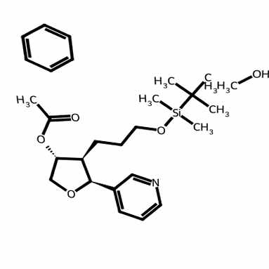 CC(=O)O[C@H]1CO[C@H](c2cccnc2)[C@@H]1CCCO[Si](C)(C)C(C)(C)C.CO.c1ccccc1